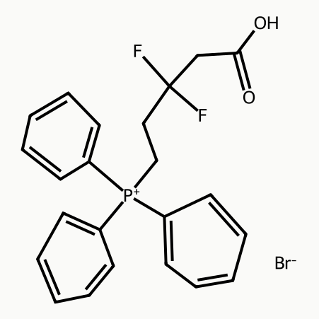 O=C(O)CC(F)(F)CC[P+](c1ccccc1)(c1ccccc1)c1ccccc1.[Br-]